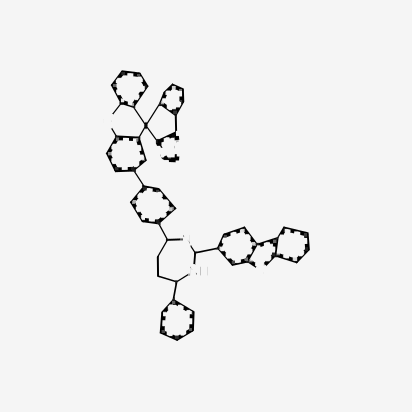 c1ccc(C2CCC(c3ccc(-c4ccc5c(c4)C4(c6ccccc6O5)c5ccccc5-c5ccccc54)cc3)NC(c3ccc4c(c3)sc3ccccc34)N2)cc1